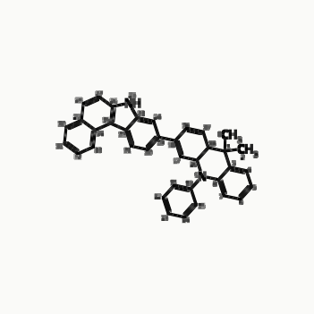 CC1(C)c2ccccc2N(c2ccccc2)C2C=C(c3ccc4c(c3)[nH]c3ccc5ccccc5c34)C=CC21